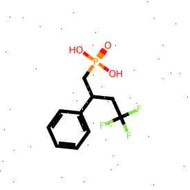 O=P(O)(O)CC(CC(F)(F)F)c1ccccc1